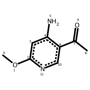 COc1cc(N)c(C(C)=O)cn1